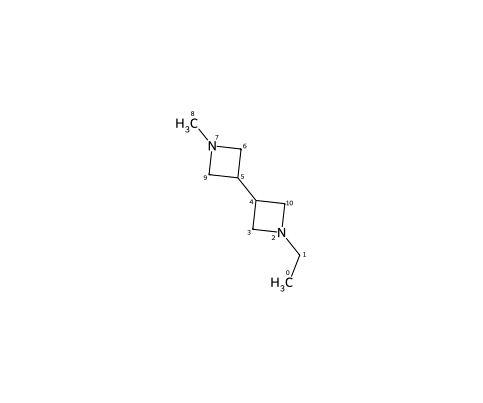 CCN1CC(C2CN(C)C2)C1